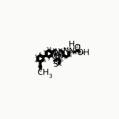 CC#Cc1cccc(-c2ccc(CN(Cc3cccc(NCC(=O)O)n3)S(=O)(=O)c3ccsc3)cc2)c1